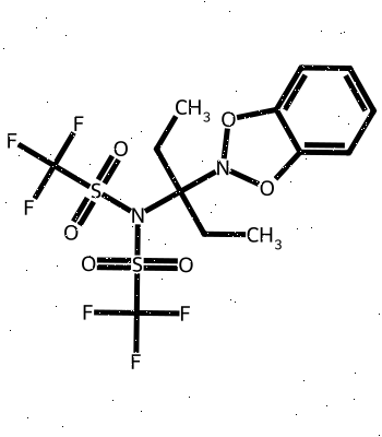 CCC(CC)(N1Oc2ccccc2O1)N(S(=O)(=O)C(F)(F)F)S(=O)(=O)C(F)(F)F